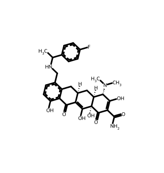 CC(NCc1ccc(O)c2c1C[C@H]1C[C@H]3[C@H](N(C)C)C(O)=C(C(N)=O)C(=O)[C@@]3(O)C(O)=C1C2=O)c1ccc(F)cc1